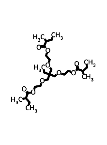 CCC(C)C(=O)OCCOCC(CC)(COCCOC(=O)C(C)CC)COCCOC(=O)C(C)CC